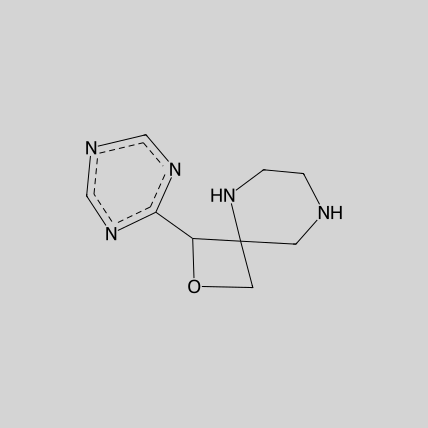 c1ncnc(C2OCC23CNCCN3)n1